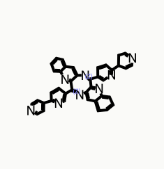 C1=CC(c2ccc(/C3=N/c4cc5ccccc5nc4/C(c4ccc(-c5ccncc5)nc4)=N\c4cc5ccccc5nc43)cn2)CC=N1